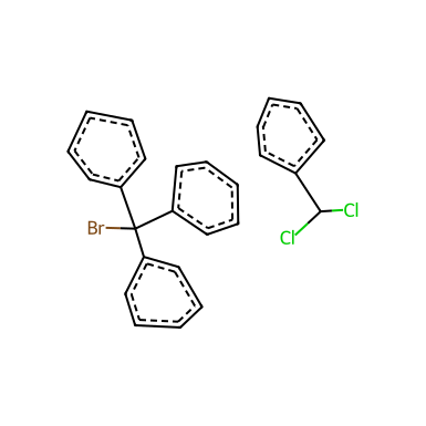 BrC(c1ccccc1)(c1ccccc1)c1ccccc1.ClC(Cl)c1ccccc1